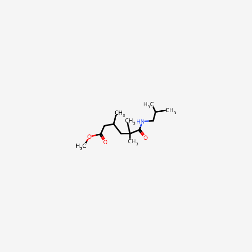 COC(=O)CC(C)CC(C)(C)C(=O)NCC(C)C